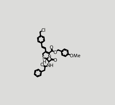 COc1ccc(COC(=O)C2=C(/C=C/c3ccc(CCl)cc3)CS[C@H]3[C@H](NC(=O)Cc4ccccc4)C(=O)N23)cc1